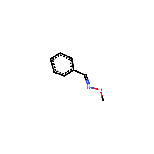 CO/N=C/c1[c]cccc1